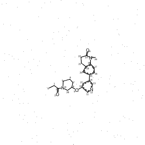 CCC(=O)N1CCCC(Oc2cncc(-c3ccc4c(c3)CCC(=O)N4C)c2)C1